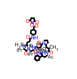 CC[C@H](C)[C@@H]([C@@H](CC(=O)N1CCC[C@H]1[C@H](OC)[C@@H](C)C(=O)N[C@@H](Cc1c[nH]c2ccccc12)C(C)=O)OC)N(C)C(=O)[C@@H](NC(=O)[C@H](C(C)C)N(C)CCCC(=O)NC1CCC(C(=O)ON2C(=O)CCC2=O)CC1)C(C)C